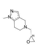 Cn1ncc2c1CCN(C[C@@H]1CO1)C2